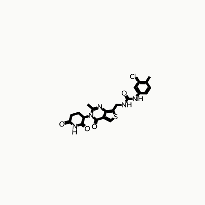 Cc1ccc(NC(=O)NCc2scc3c(=O)n(C4CCC(=O)NC4=O)c(C)nc23)cc1Cl